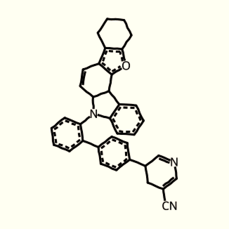 N#CC1=CN=CC(c2ccc(-c3ccccc3N3c4ccccc4C4c5oc6c(c5C=CC43)CCCC6)cc2)C1